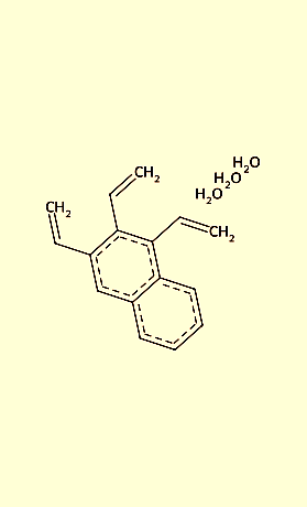 C=Cc1cc2ccccc2c(C=C)c1C=C.O.O.O